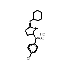 CC(=O)N(c1ccc(Cl)cc1)C1CSC(=NC2CCCCC2)N1C.Cl